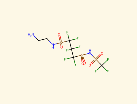 NCCNS(=O)(=O)C(F)(F)C(F)(F)C(F)(F)S(=O)(=O)NS(=O)(=O)C(F)(F)F